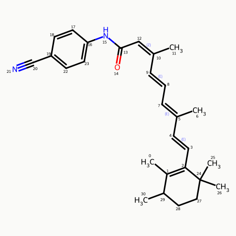 CC1=C(/C=C/C(C)=C/C=C/C(C)=C\C(=O)Nc2ccc(C#N)cc2)C(C)(C)CCC1C